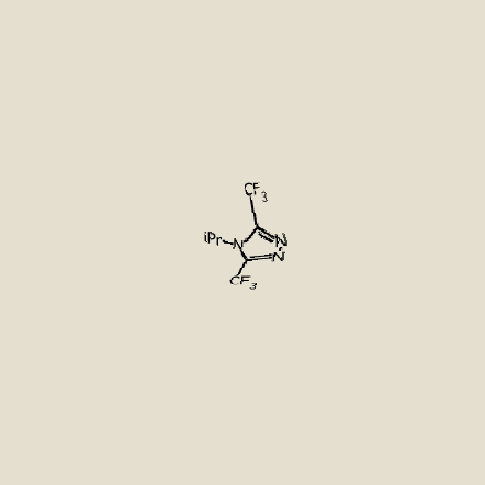 CC(C)n1c(C(F)(F)F)nnc1C(F)(F)F